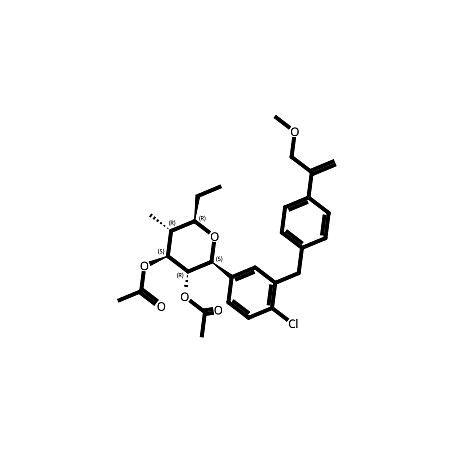 C=C(COC)c1ccc(Cc2cc([C@@H]3O[C@H](CC)[C@@H](C)[C@H](OC(C)=O)[C@H]3OC(C)=O)ccc2Cl)cc1